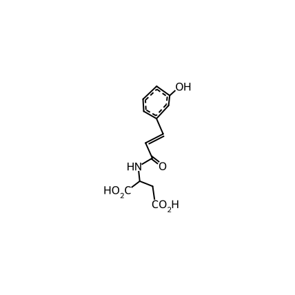 O=C(O)CC(NC(=O)C=Cc1cccc(O)c1)C(=O)O